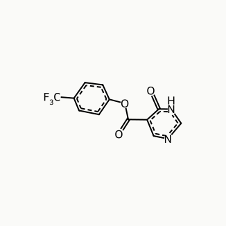 O=C(Oc1ccc(C(F)(F)F)cc1)c1cnc[nH]c1=O